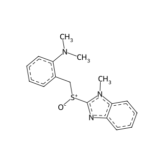 CN(C)c1ccccc1C[S+]([O-])c1nc2ccccc2n1C